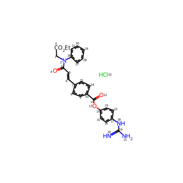 CCOC(=O)CN(C(=O)/C=C/c1ccc(C(=O)Oc2ccc(NC(=N)N)cc2)cc1)c1ccccc1.Cl